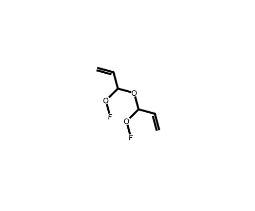 C=CC(OF)OC(C=C)OF